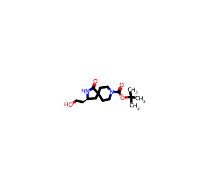 CC(C)(C)OC(=O)N1CCC2(CC1)C[C@@H](CCO)NC2=O